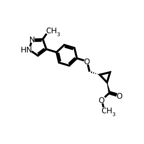 COC(=O)[C@@H]1C[C@H]1COc1ccc(-c2c[nH]nc2C)cc1